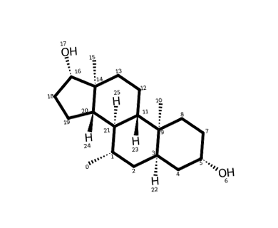 C[C@H]1C[C@@H]2C[C@@H](O)CC[C@]2(C)[C@H]2CC[C@]3(C)[C@@H](O)CC[C@H]3[C@H]12